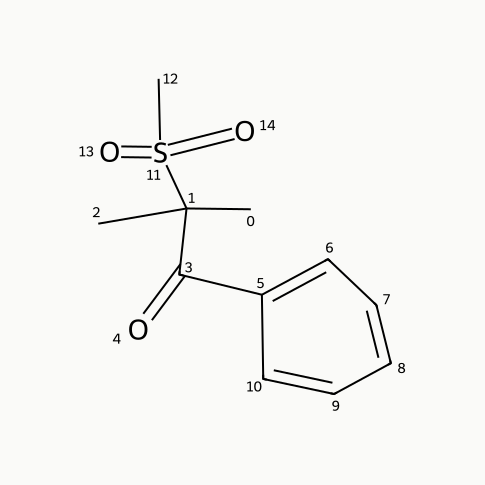 CC(C)(C(=O)c1ccccc1)S(C)(=O)=O